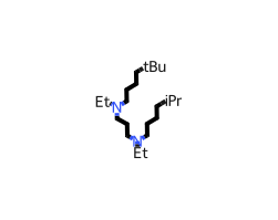 CCN(CCCCC(C)C)CCCN(CC)CCCCC(C)(C)C